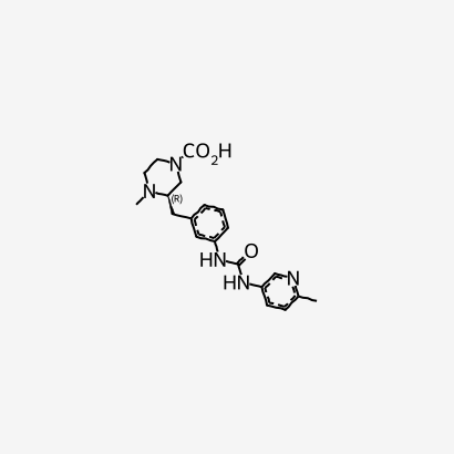 Cc1ccc(NC(=O)Nc2cccc(C[C@@H]3CN(C(=O)O)CCN3C)c2)cn1